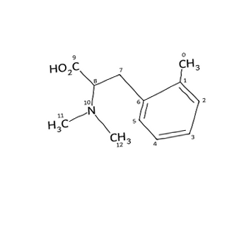 Cc1ccccc1CC(C(=O)O)N(C)C